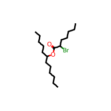 CCCCCCC(CCCCC)OC(=O)C(Br)CCCCC